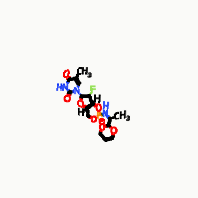 Cc1cn([C@H]2O[C@H]3COP(=O)(N[C@@H](C)C4OCCCO4)O[C@@H]3[C@H]2F)c(=O)[nH]c1=O